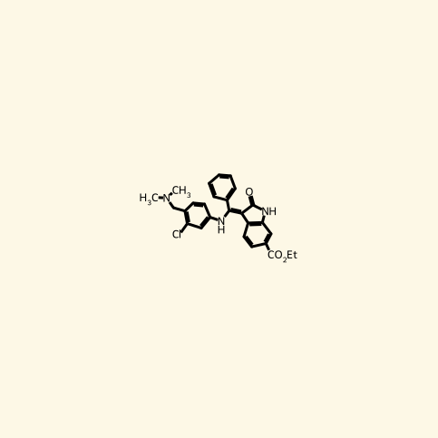 CCOC(=O)c1ccc2c(c1)NC(=O)/C2=C(/Nc1ccc(CN(C)C)c(Cl)c1)c1ccccc1